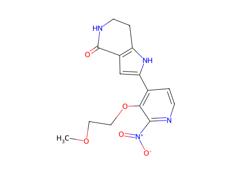 COCCOc1c(-c2cc3c([nH]2)CCNC3=O)ccnc1[N+](=O)[O-]